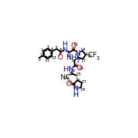 Cc1ccc(CC(=O)N[C@@H](N)C(=O)N2C[C@H](C(F)(F)F)C[C@H]2CC(=O)N[C@H](C#N)C[C@@H]2CCNC2=O)cc1